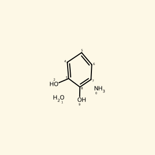 N.O.Oc1ccccc1O